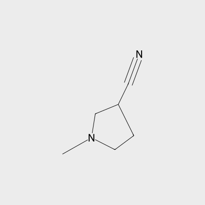 CN1CCC(C#N)C1